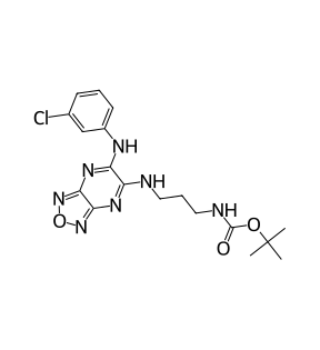 CC(C)(C)OC(=O)NCCCNc1nc2nonc2nc1Nc1cccc(Cl)c1